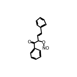 O=NOC(C=Cc1ccccc1)C(=O)c1ccccc1